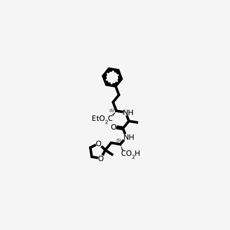 CCOC(=O)[C@H](CCc1ccccc1)NC(C)C(=O)N[C@@H](CC1(C)OCCO1)C(=O)O